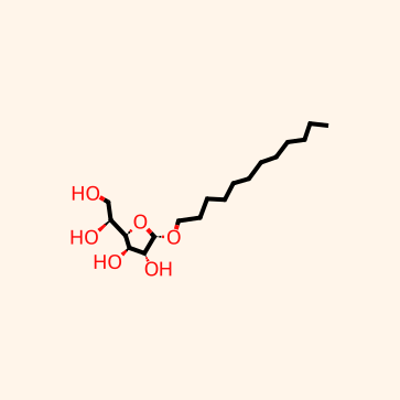 CCCCCCCCCCCCO[C@H]1O[C@@H]([C@@H](O)CO)[C@H](O)[C@H]1O